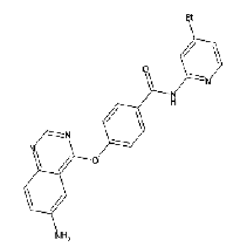 CCc1ccnc(NC(=O)c2ccc(Oc3ncnc4ccc(N)cc34)cc2)c1